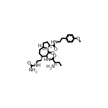 CC[C@H](N)C(=O)NC1C(=O)N2[C@@H](CC[C@@H]1CCNC(N)=O)CC[C@H]2C(=O)NCCc1ccc(OC)cc1